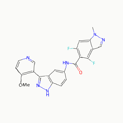 COc1ccncc1-c1n[nH]c2ccc(NC(=O)c3c(F)cc4c(cnn4C)c3F)cc12